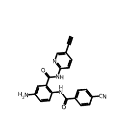 C#Cc1ccc(NC(=O)c2cc(N)ccc2NC(=O)c2ccc(C#N)cc2)nc1